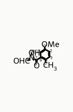 COc1ccc(C)c(C(=O)N(O)C=O)c1